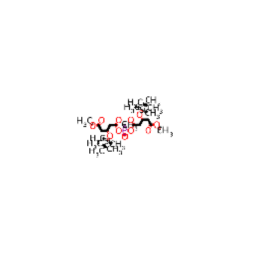 COC(=O)CC(CC(=O)OP(C)(=O)OC(=O)CC(CC(=O)OC)O[Si](C)(C)C(C)(C)C)O[Si](C)(C)C(C)(C)C